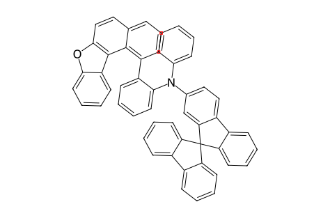 c1ccc(N(c2ccc3c(c2)C2(c4ccccc4-c4ccccc42)c2ccccc2-3)c2ccccc2-c2cccc3ccc4oc5ccccc5c4c23)cc1